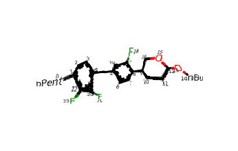 CCCCCc1ccc(-c2ccc(C3CCC(OCCCC)OC3)c(F)c2)c(F)c1F